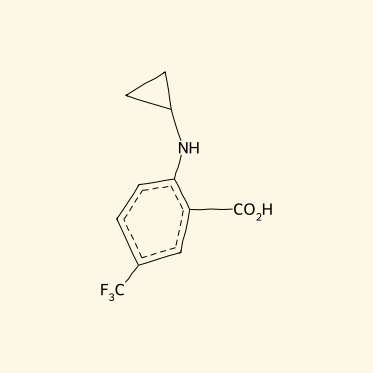 O=C(O)c1cc(C(F)(F)F)ccc1NC1CC1